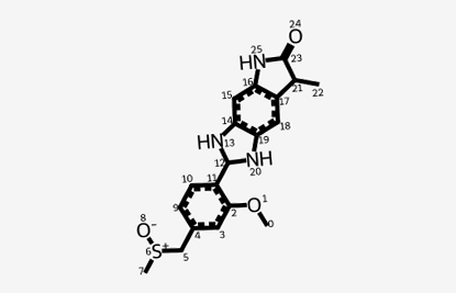 COc1cc(C[S+](C)[O-])ccc1C1Nc2cc3c(cc2N1)C(C)C(=O)N3